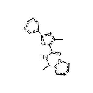 Cc1nc(-c2cccnc2)sc1C(=O)NC(C)c1ccccn1